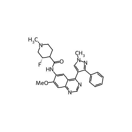 COc1cc2ncnc(-c3cn(C)nc3-c3ccccc3)c2cc1NC(=O)C1CCN(C)C[C@H]1F